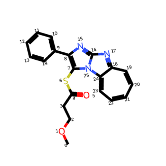 COCCC(=O)Sc1c(-c2ccccc2)nc2nc3cccccc3n12